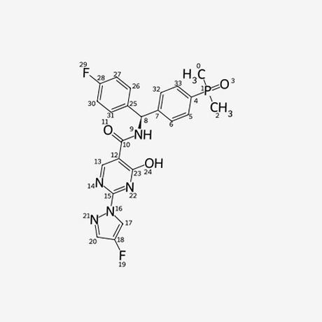 CP(C)(=O)c1ccc([C@@H](NC(=O)c2cnc(-n3cc(F)cn3)nc2O)c2ccc(F)cc2)cc1